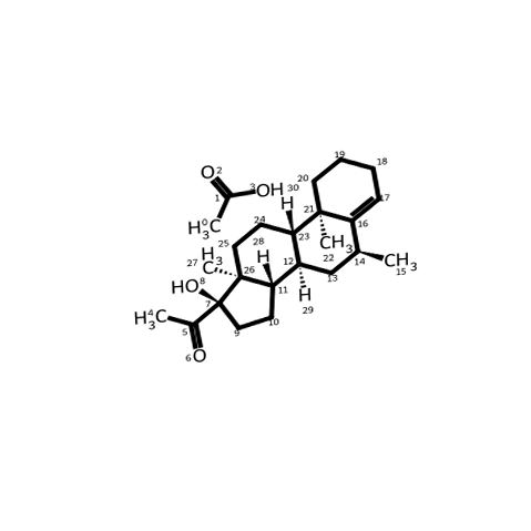 CC(=O)O.CC(=O)[C@@]1(O)CC[C@H]2[C@@H]3C[C@H](C)C4=CCCC[C@]4(C)[C@H]3CC[C@@]21C